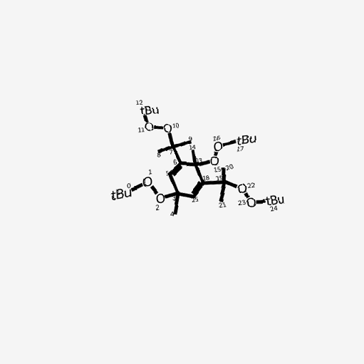 CC(C)(C)OOC1(C)C=C(C(C)(C)OOC(C)(C)C)C(C)(OOC(C)(C)C)C(C(C)(C)OOC(C)(C)C)=C1